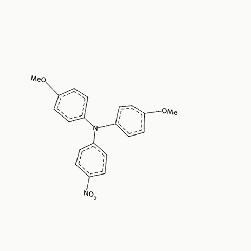 COc1ccc(N(c2ccc(OC)cc2)c2ccc([N+](=O)[O-])cc2)cc1